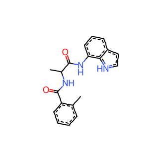 Cc1ccccc1C(=O)NC(C)C(=O)Nc1cccc2cc[nH]c12